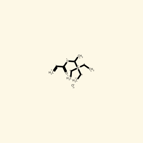 C=CC(=O)OC(C)[N+](CC)(CC)CC.[Cl-]